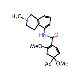 COC1=C(C(=O)Nc2cccc3c2CCN(C)C3)C=CC(OC)(C(C)=O)C1